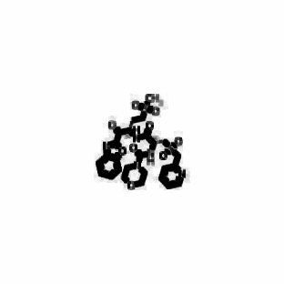 CS(=O)(=O)CC[C@H](NC(=O)[C@H](CS(=O)(=O)Cc1ccccn1)NC(=O)N1CCOCC1)C(=O)c1nc2ccccc2o1